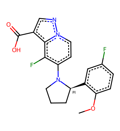 COc1ccc(F)cc1[C@H]1CCCN1c1ccn2ncc(C(=O)O)c2c1F